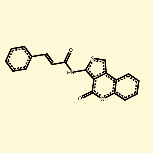 O=C(/C=C/c1ccccc1)Nc1scc2c1c(=O)oc1ccccc12